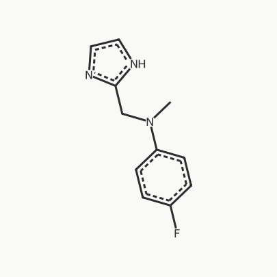 CN(Cc1ncc[nH]1)c1ccc(F)cc1